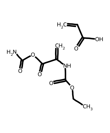 C=C(NC(=O)OCC)C(=O)OC(N)=O.C=CC(=O)O